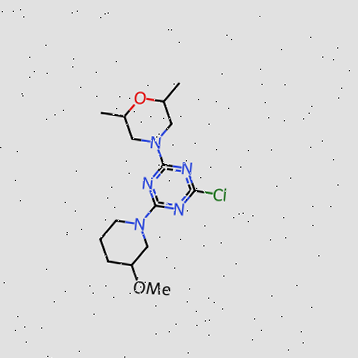 COC1CCCN(c2nc(Cl)nc(N3CC(C)OC(C)C3)n2)C1